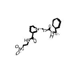 C[C@H](NC(=O)OC[n+]1cccc(C(=O)NCCO[N+](=O)[O-])c1)C1CCCCC1